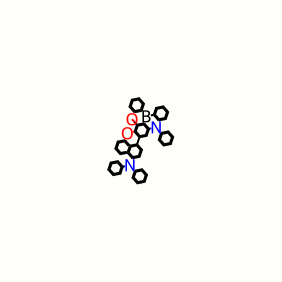 c1ccc(N2c3ccccc3B3c4ccccc4Oc4c5c(cc2c43)-c2ccc(N(c3ccccc3)c3ccccc3)c3cccc(c23)O5)cc1